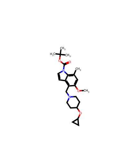 COc1cc(C)c2c(ccn2C(=O)OC(C)(C)C)c1CN1CCC(OC2CC2)CC1